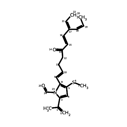 C=C(C)c1cc(SC)c(/C=C/CCC(=O)/C=C/C(/C=C\C)=C/C)n1C=O